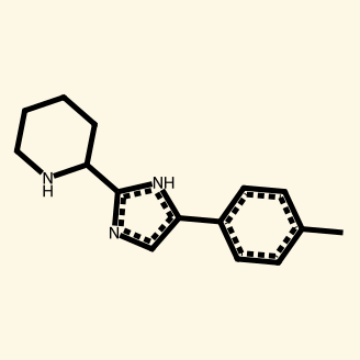 Cc1ccc(-c2cnc(C3CCCCN3)[nH]2)cc1